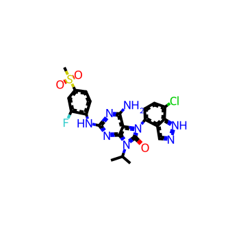 CC(C)n1c(=O)n(-c2ccc(Cl)c3[nH]ncc23)c2c(N)nc(Nc3ccc(S(C)(=O)=O)cc3F)nc21